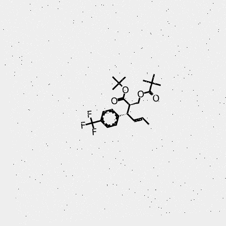 C/C=C/[C@H](c1ccc(C(F)(F)F)cc1)[C@H](COC(=O)C(C)(C)C)C(=O)OC(C)(C)C